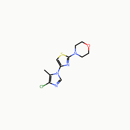 Cc1c(Cl)ncn1-c1csc(N2CCOCC2)n1